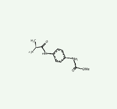 COC(=O)Nc1ccc(NC(=O)[C@H](C)N)cc1